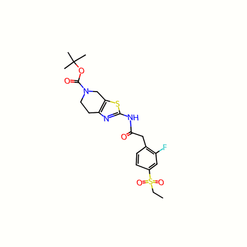 CCS(=O)(=O)c1ccc(CC(=O)Nc2nc3c(s2)CN(C(=O)OC(C)(C)C)CC3)c(F)c1